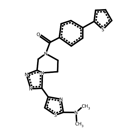 CN(C)c1nc(-c2nnc3n2CCN(C(=O)c2ccc(-c4cccs4)cc2)C3)cs1